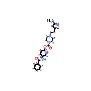 Cc1cc(CCN2CCN(C(=O)Oc3ccc(NC(=O)c4ccccc4)cn3)CC2)on1